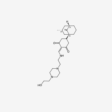 C=C1[C@H]2CCC[C@]1(C1CC(=O)C(=CNCCN3CCN(CCO)CC3)C(=O)C1)C[C@H](C)C2